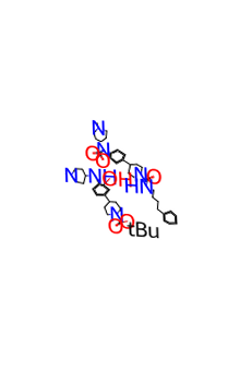 CN1CCC(Nc2ccc(C3CCN(C(=O)OC(C)(C)C)CC3)cc2O)CC1.CN1CCC(n2c(=O)oc3cc(C4CCN(C(=O)NCCCCc5ccccc5)CC4)ccc32)CC1